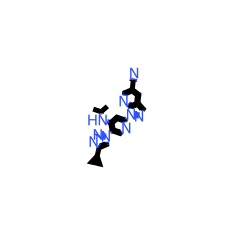 CC(C)Nc1cc(-n2ncc3cc(C#N)cnc32)ncc1-n1cc(C2CC2)nn1